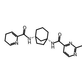 Cc1nccc(C(=O)N[C@]23CCC[C@](NC(=O)C4=CCCC=N4)(CC2)C3)n1